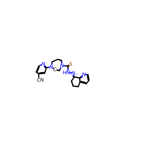 N#Cc1ccnc(N2CCCN(C(=S)N/N=C3\CCCc4cccnc43)CC2)c1